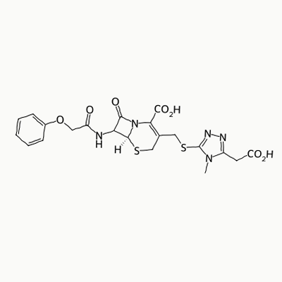 Cn1c(CC(=O)O)nnc1SCC1=C(C(=O)O)N2C(=O)C(NC(=O)COc3ccccc3)[C@@H]2SC1